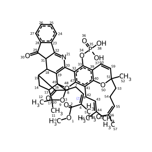 COC(=O)/C(C)=C\CC12OC(C)(C)C3CC(C1=O)C1C4=C(N=C5c6ccccc6C(=O)C51)c1c(OP(=O)(O)O)c5c(c(CC=C(C)C)c1OC432)OC(C)(CCC=C(C)C)C=C5